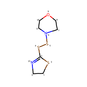 C1CSC(SSN2CCOCC2)=N1